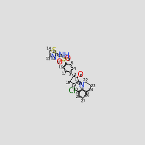 O=C1C(c2ccc(S(=O)(=O)Nc3nccs3)cc2)CC[C@H]1N1CCCc2cccc(Cl)c21